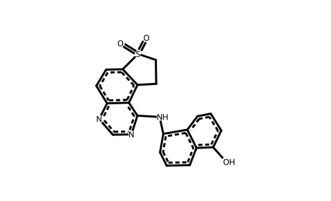 O=S1(=O)CCc2c1ccc1ncnc(Nc3cccc4c(O)cccc34)c21